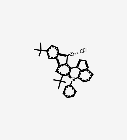 CC(C)(C)c1ccc2c(c1)=c1cc(C(C)(C)C)c(=[Si](c3ccccc3)c3ccccc3)c(C3=CC=CC3)c1[C]=2[Zr+2].[Cl-].[Cl-]